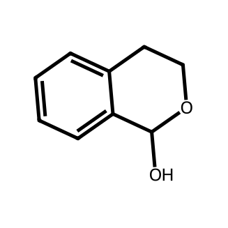 OC1OCCc2ccccc21